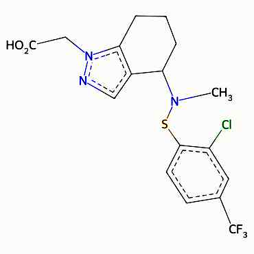 CN(Sc1ccc(C(F)(F)F)cc1Cl)C1CCCc2c1cnn2CC(=O)O